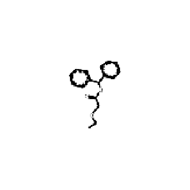 CCOCC(=O)OC(c1ccccc1)c1ccccc1